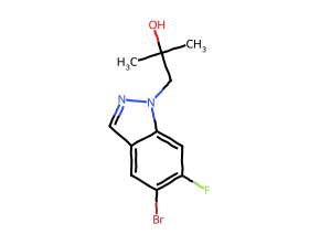 CC(C)(O)Cn1ncc2cc(Br)c(F)cc21